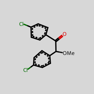 COC(C(=O)c1ccc(Cl)cc1)c1ccc(Cl)cc1